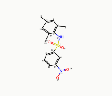 Cc1cc(C)c(NS(=O)(=O)c2cccc([N+](=O)[O-])c2)c(C)c1